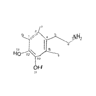 Cc1c(C)c(CCN)c(C)c(O)c1O